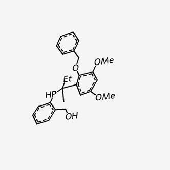 CCC(C)(Pc1ccccc1CO)c1cc(OC)cc(OC)c1OCc1ccccc1